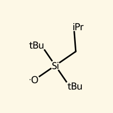 CC(C)C[Si]([O])(C(C)(C)C)C(C)(C)C